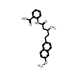 COc1ccc2cc(CCC(C)CC(=O)Nc3ccccc3C(=O)O)ccc2c1